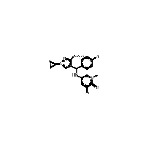 CCOC(=O)c1nn(C2CC2)cc1C(Nc1cc(Cl)c(=O)n(C)c1)c1ccc(Cl)cc1